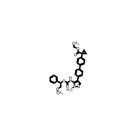 CCOC(=O)C1(c2ccc(-c3ccc(-c4cnn(C)c4NC(=O)OC(COC)c4ccccc4)cc3)cc2)CC1